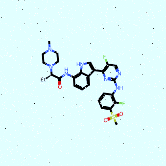 CC[C@H](C(=O)Nc1cccc2c(-c3nc(Nc4cccc(S(C)(=O)=O)c4F)ncc3F)c[nH]c12)N1CCN(C)CC1